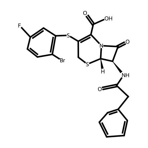 O=C(Cc1ccccc1)N[C@@H]1C(=O)N2C(C(=O)O)=C(Sc3cc(F)ccc3Br)CS[C@@H]12